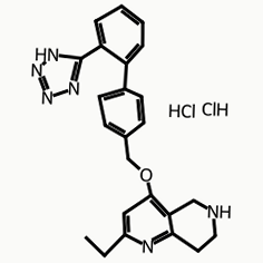 CCc1cc(OCc2ccc(-c3ccccc3-c3nnn[nH]3)cc2)c2c(n1)CCNC2.Cl.Cl